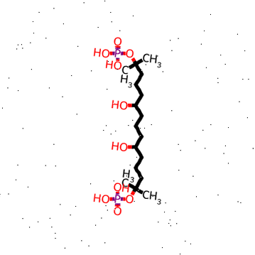 CC(C)(CCCC(O)CCCC(O)CCCC(C)(C)OP(=O)(O)O)OP(=O)(O)O